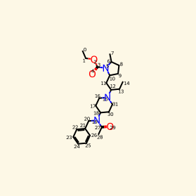 CCOC(=O)N1C(C)CCC1CC(CC)N1CCC(N(Cc2ccccc2)C(C)=O)CC1